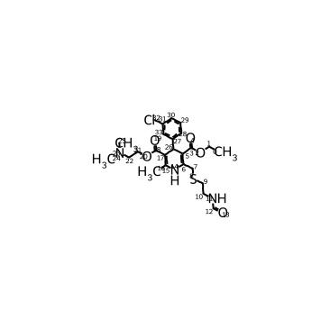 CCOC(=O)C1=C(CSCCNC=O)NC(C)=C(C(=O)OCCN(C)C)C1c1cccc(Cl)c1